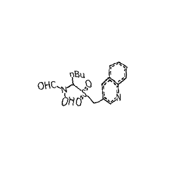 CCCCC(N(O)C=O)S(=O)(=O)Cc1cnc2ccccc2c1